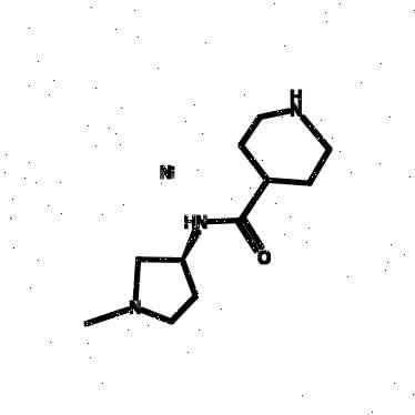 CN1CC[C@H](NC(=O)C2CCNCC2)C1.[N]